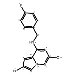 Fc1ccc(CNc2nc(Cl)nn3cc(Br)cc23)cc1